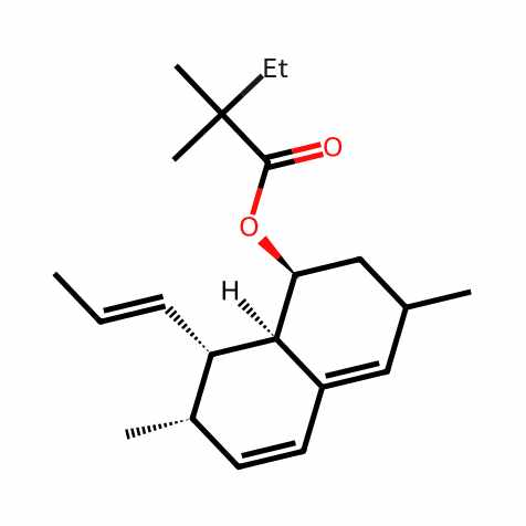 C/C=C/[C@@H]1[C@@H]2C(=CC(C)C[C@@H]2OC(=O)C(C)(C)CC)C=C[C@@H]1C